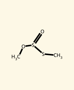 COS(=O)SC